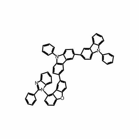 c1ccc(-c2nc3ccccc3n2-c2cccc3oc4ccc(-c5ccc6c(c5)c5cc(-c7ccc8c(c7)c7ccccc7n8-c7ccccc7)ccc5n6-c5ccccc5)cc4c23)cc1